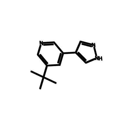 CC(C)(C)c1cncc(-c2cn[nH]c2)c1